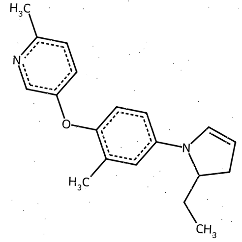 CCC1CC=CN1c1ccc(Oc2ccc(C)nc2)c(C)c1